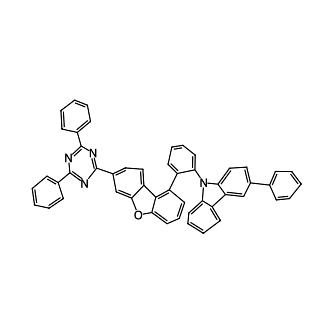 c1ccc(-c2ccc3c(c2)c2ccccc2n3-c2ccccc2-c2cccc3oc4cc(-c5nc(-c6ccccc6)nc(-c6ccccc6)n5)ccc4c23)cc1